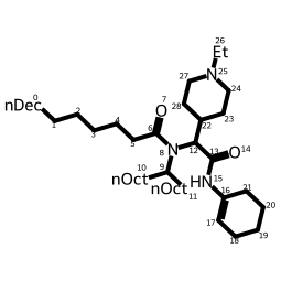 CCCCCCCCCCCCCCCC(=O)N(C(CCCCCCCC)CCCCCCCC)C(C(=O)NC1=CCCCC1)C1CCN(CC)CC1